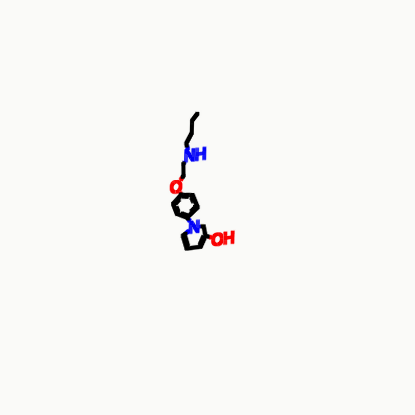 CCCCNCCOc1ccc(N2C=CC=C(O)C2)cc1